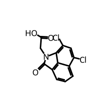 O=C(O)CN1C(=O)c2cccc3c(Cl)cc(Cl)c1c23